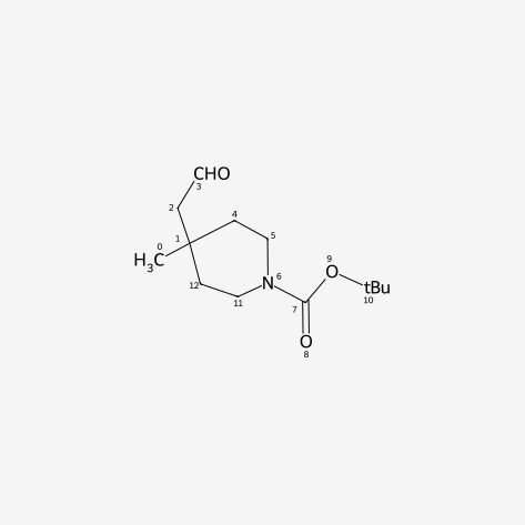 CC1(CC=O)CCN(C(=O)OC(C)(C)C)CC1